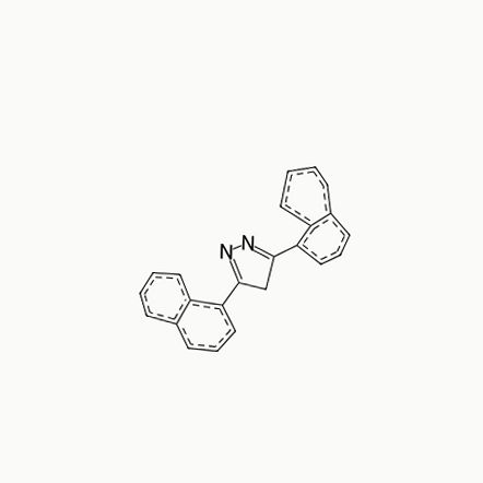 c1ccc2c(C3=NN=C(c4cccc5ccccc45)C3)cccc2c1